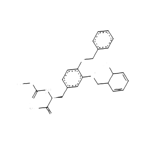 COC(=O)[C@H](Cc1ccc(OCc2ccccc2)c(OCC2C=CC=CC2C)c1)NC(=O)OC(C)(C)C